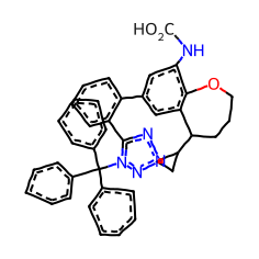 O=C(O)Nc1cc(-c2ccccc2-c2nnnn2C(c2ccccc2)(c2ccccc2)c2ccccc2)cc2c1OCCCC2C1CC1